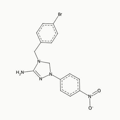 NC1=NN(c2ccc([N+](=O)[O-])cc2)CN1Cc1ccc(Br)cc1